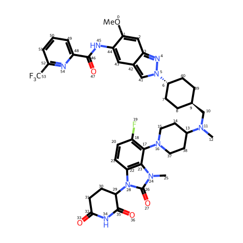 COc1cc2nn([C@H]3CC[C@H](CN(C)C4CCN(c5c(F)ccc6c5n(C)c(=O)n6C5CCC(=O)NC5=O)CC4)CC3)cc2cc1NC(=O)c1cccc(C(F)(F)F)n1